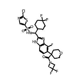 O=C(N1CC(F)(F)C1)C1(c2ccc3[nH]c(C(NS(=O)(=O)c4cnc(Cl)s4)C4CCC(F)(F)CC4)nc3c2F)CCOCC1